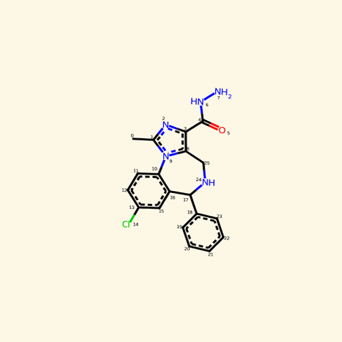 Cc1nc(C(=O)NN)c2n1-c1ccc(Cl)cc1C(c1ccccc1)NC2